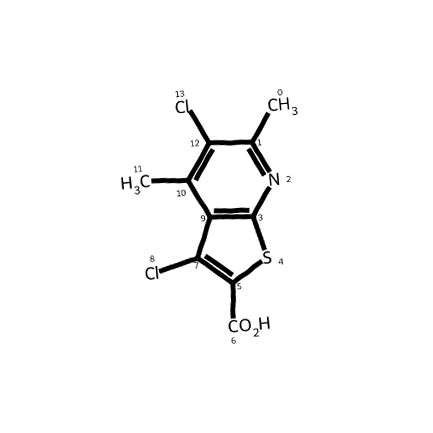 Cc1nc2sc(C(=O)O)c(Cl)c2c(C)c1Cl